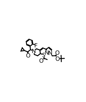 CC(=O)SC1CCN(C(C(=O)C2CC2)c2ccccc2F)CC1=Cc1ccn(CC(=O)OC(C)(C)C)n1